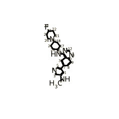 CNc1cncc(-c2ccc3ncnc(NC4CCC(N5CCC(F)CC5)CC4)c3c2)c1